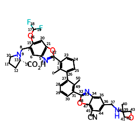 Cc1c(-c2nc3cc(CN4CCC[C@H]4C(=O)O)c(OC(F)F)cc3o2)cccc1-c1cccc(-c2nc3cc(CNC4(C)COC4)cc(C#N)c3o2)c1C